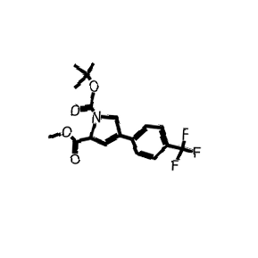 COC(=O)C1C=C(c2ccc(C(F)(F)F)cc2)CN1C(=O)OC(C)(C)C